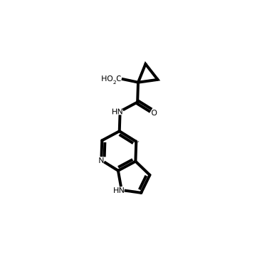 O=C(O)C1(C(=O)Nc2[c]c3cc[nH]c3nc2)CC1